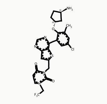 Cc1cc(Cl)cc(-c2ncnc3cc(Cn4c(=O)ccn(CC(F)(F)F)c4=O)sc23)c1O[C@@H]1CC[C@@H](N)C1